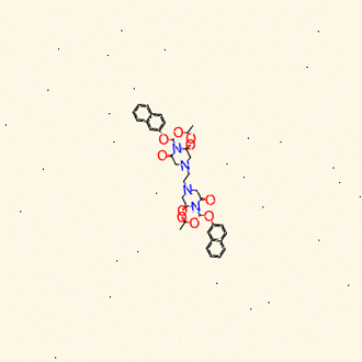 CC(=O)OC(Oc1ccc2ccccc2c1)N1C(=O)CN(CCN2CC(=O)N(C(OC(C)=O)Oc3ccc4ccccc4c3)C(=O)C2)CC1=O